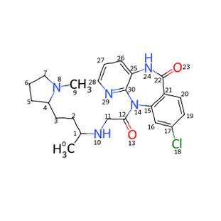 CC(CCC1CCCN1C)NCC(=O)N1c2cc(Cl)ccc2C(=O)Nc2cccnc21